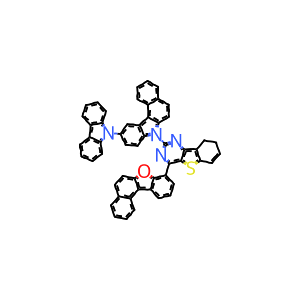 C1=Cc2sc3c(-c4cccc5c4oc4ccc6ccccc6c45)nc(-n4c5ccc(-n6c7ccccc7c7ccccc76)cc5c5c6ccccc6ccc54)nc3c2CC1